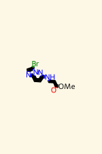 COC(=O)CCNc1ccc2ncc(Br)n2n1